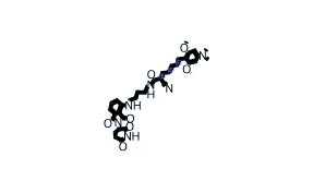 COc1cc(N(C)C)cc(OC)c1/C=C/C=C/C=C(\C#N)C(=O)NCCCCCNc1cccc2c1C(=O)N(C1CCC(=O)NC1=O)C2=O